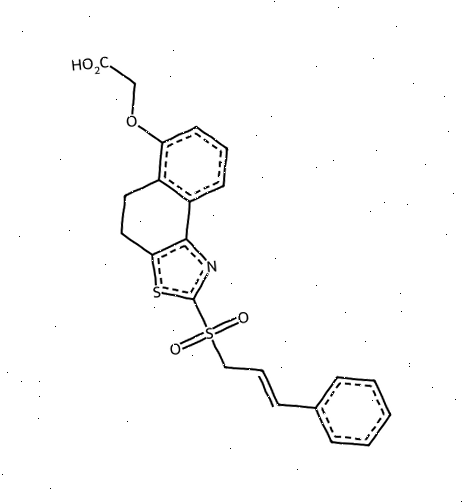 O=C(O)COc1cccc2c1CCc1sc(S(=O)(=O)C/C=C/c3ccccc3)nc1-2